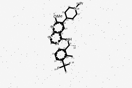 COc1nc2ncnc(N[C@H](C)c3cccc(C(C)(F)F)c3C)c2cc1C1CCN(C(C)C)CC1